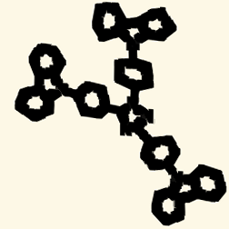 c1ccc2c(c1)c1ccccc1n2-c1ccc(-c2nc(-c3ccc(-n4c5ccccc5c5ccccc54)cc3)n(-c3ccc(-n4c5ccccc5c5ccccc54)cc3)n2)cc1